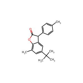 Cc1ccc(C2C(=O)Oc3c(C)cc(C(C)(C)C)cc32)cc1